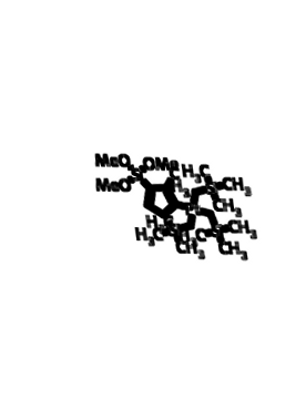 CO[Si](OC)(OC)C1=CC[C]([Pt]([CH2][Si](C)(C)C)([CH2][Si](C)(C)C)[CH2][Si](C)(C)C)=C1C